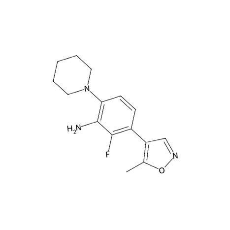 Cc1oncc1-c1ccc(N2CCCCC2)c(N)c1F